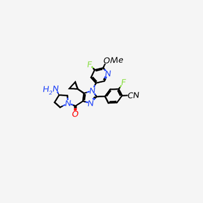 COc1ncc(-n2c(-c3ccc(C#N)c(F)c3)nc(C(=O)N3CC[C@@H](N)C3)c2C2CC2)cc1F